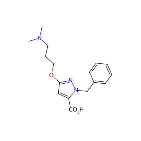 CN(C)CCCOc1cc(C(=O)O)n(Cc2ccccc2)n1